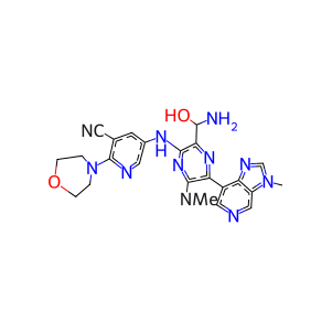 CNc1nc(Nc2cnc(N3CCOCC3)c(C#N)c2)c(C(N)O)nc1-c1cncc2c1ncn2C